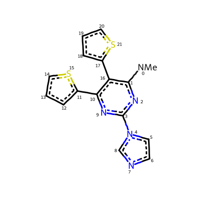 CNc1nc(-n2ccnc2)nc(-c2cccs2)c1-c1cccs1